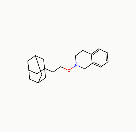 c1ccc2c(c1)CCN(OCCC13CC4CC(CC(C4)C1)C3)C2